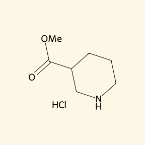 COC(=O)C1CCCNC1.Cl